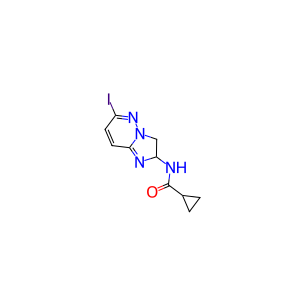 O=C(NC1CN2N=C(I)C=CC2=N1)C1CC1